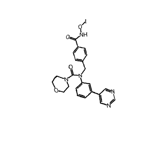 O=C(NOI)c1ccc(CN(C(=O)N2CCOCC2)c2cccc(-c3cncnc3)c2)cc1